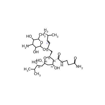 CC(C)/C=C/[C@@H](C[C@@H]1O[C@](O)(C[C@@H](O)C(C)C)C[C@H](O)[C@H]1C(=O)NCCC(N)=O)OC1OC(C)C(O)C(N)C1O